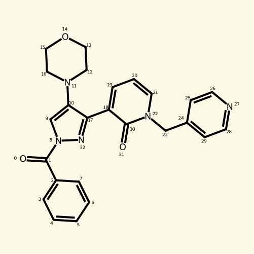 O=C(c1ccccc1)n1cc(N2CCOCC2)c(-c2cccn(Cc3ccncc3)c2=O)n1